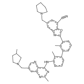 Cc1nc(Nc2cccc(-c3cccc(-c4nc5cc(CN6CCCCC6)cc(C#N)c5o4)c3C)c2C)c2ncc(CN3CCC(C)C3)cc2n1